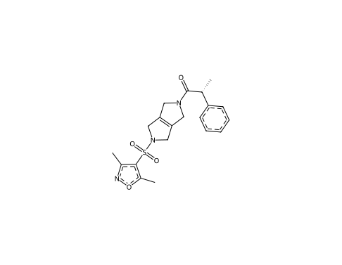 Cc1noc(C)c1S(=O)(=O)N1CC2=C(CN(C(=O)[C@H](C)c3ccccc3)C2)C1